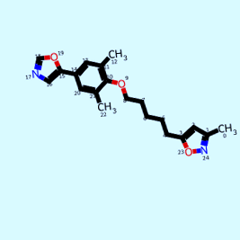 Cc1cc(CCCCCOc2c(C)cc(-c3cnco3)cc2C)on1